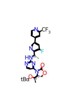 C[C@H](Nc1nccc(N2C(=O)OC[C@@H]2[C@@H](C)OC(C)(C)C)n1)c1ncc(-c2ccnc(C(F)(F)F)c2)cc1F